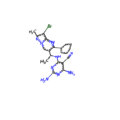 Cc1nn2cc([C@H](C)Nc3nc(N)nc(N)c3C#N)c(-c3ccccc3)nc2c1Br